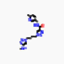 CNc1cn(CCCCn2cc(C(=O)NCc3ccc(C)nc3)nn2)nn1